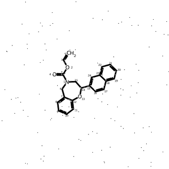 C=COC(=O)N1Cc2ccccc2OC(c2ccc3ccccc3c2)C1